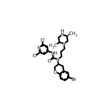 CC1CN[C@@H](C)CN1CCCN(C(=O)Nc1cc(Cl)nc(Cl)c1)C1COc2ccc(Br)cc2C1